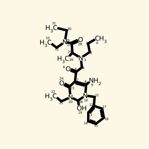 CCCN(CC(=O)C1=C(N)N(Cc2ccccc2)C(O)N(CC)C1=O)C(C)C(=O)N(CC)CC